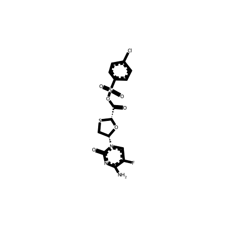 Nc1nc(=O)n([C@@H]2CS[C@H](C(=O)OS(=O)(=O)c3ccc(Cl)cc3)O2)cc1F